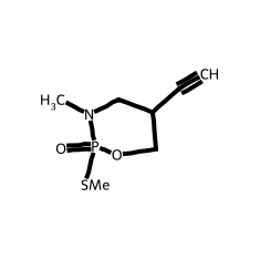 C#CC1COP(=O)(SC)N(C)C1